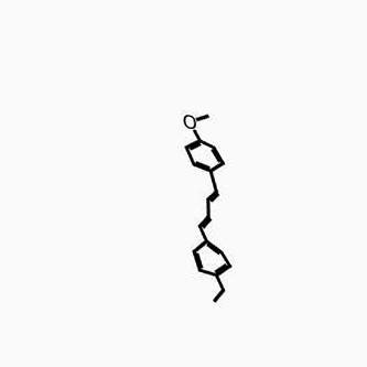 CCc1ccc(/C=C/C=C/c2ccc(OC)cc2)cc1